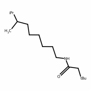 CC(C)C(C)CCCCCCNC(=O)CC(C)(C)C